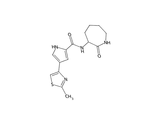 Cc1nc(-c2c[nH]c(C(=O)NC3CCCCNC3=O)c2)cs1